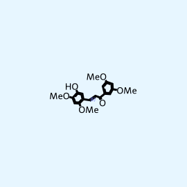 COc1cc(OC)cc(C(=O)/C=C/c2cc(O)c(OC)cc2OC)c1